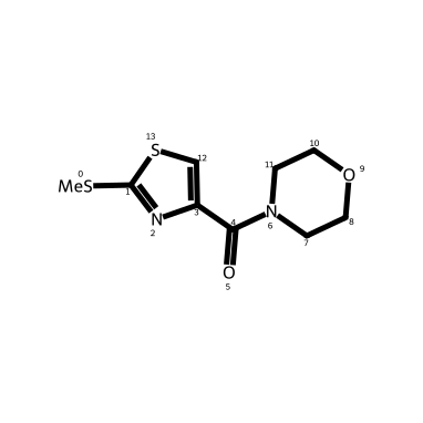 CSc1nc(C(=O)N2CCOCC2)cs1